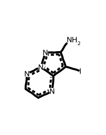 Nc1nn2nccnc2c1I